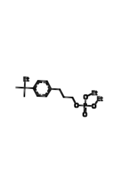 CCOP(=O)(OCC)OCCCc1ccc(C(C)(C)CC)cc1